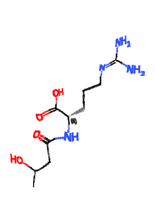 CC(O)CC(=O)N[C@@H](CCCN=C(N)N)C(=O)O